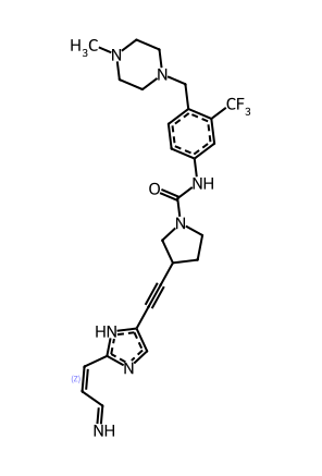 CN1CCN(Cc2ccc(NC(=O)N3CCC(C#Cc4cnc(/C=C\C=N)[nH]4)C3)cc2C(F)(F)F)CC1